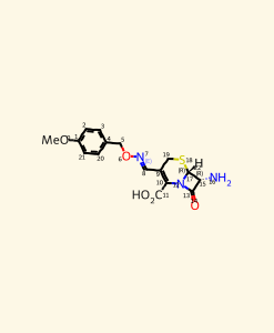 COc1ccc(CO/N=C/C2=C(C(=O)O)N3C(=O)[C@@H](N)[C@H]3SC2)cc1